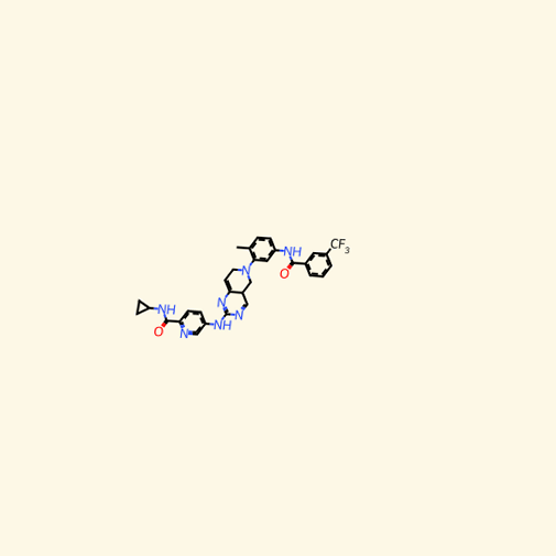 Cc1ccc(NC(=O)c2cccc(C(F)(F)F)c2)cc1N1CC=C2N=C(Nc3ccc(C(=O)NC4CC4)nc3)N=CC2C1